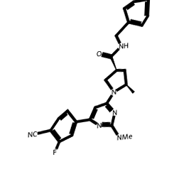 CNc1nc(-c2ccc(C#N)c(F)c2)cc(N2C[C@@H](C(=O)NCc3ccccc3)C[C@H]2C)n1